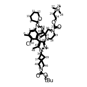 Cc1cc2c(cnn2C2CCCCO2)c(-c2c(N3CCN(C(=O)OCC[Si](C)(C)C)CC3(C)C)nn(C3CC4(C3)CN(C(=O)OC(C)(C)C)C4)c2C)c1Cl